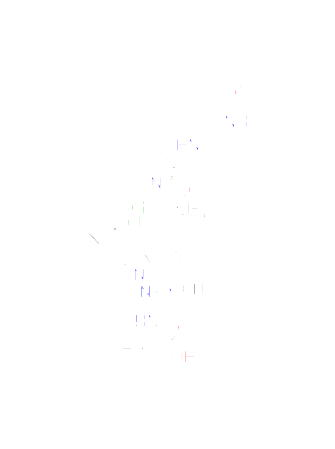 COc1nc(-c2cccc(-c3cccc(-c4cc5c(=O)n(C)c(CN[C@@H](C)C(=O)O)nn5c4)c3Cl)c2Cl)ccc1CNC[C@@H]1CCC(=O)N1